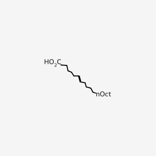 CCCCCCCCCCCCC=CCCCCCC(=O)O